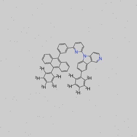 [2H]c1c([2H])c([2H])c(-c2ccc3c(c2)c2cnccc2n3-c2cccc(-c3cccc(-c4c5ccccc5c(-c5c([2H])c([2H])c([2H])c([2H])c5[2H])c5ccccc45)c3)n2)c([2H])c1[2H]